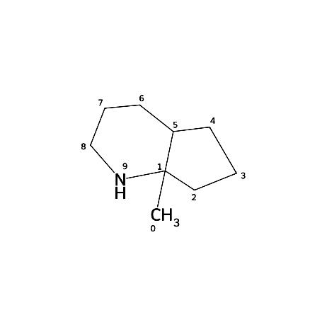 CC12CCCC1CCCN2